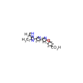 C=Cc1nc(-c2ccc(-c3ccc(OC4CCC(C(=O)O)CC4)nc3)nc2)[nH]c1C=C